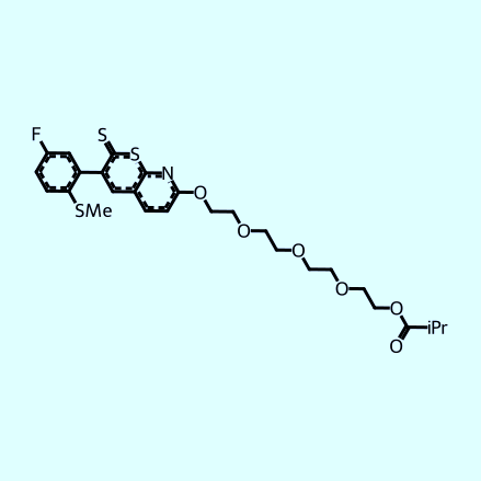 CSc1ccc(F)cc1-c1cc2ccc(OCCOCCOCCOCCOC(=O)C(C)C)nc2sc1=S